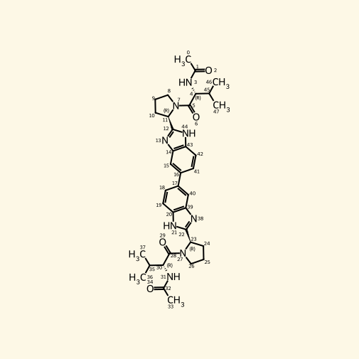 CC(=O)N[C@@H](C(=O)N1CCC[C@@H]1c1nc2cc(-c3ccc4[nH]c([C@H]5CCCN5C(=O)[C@H](NC(C)=O)C(C)C)nc4c3)ccc2[nH]1)C(C)C